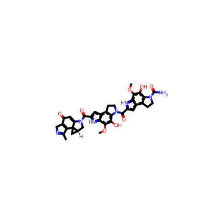 COc1c(O)c2c(c3cc(C(=O)N4CCc5c4c(O)c(OC)c4[nH]c(C(=O)N6C[C@H]7CC78C6=CC(=O)C6=C8C(C)=NC6)cc54)[nH]c13)CCN2C(N)=O